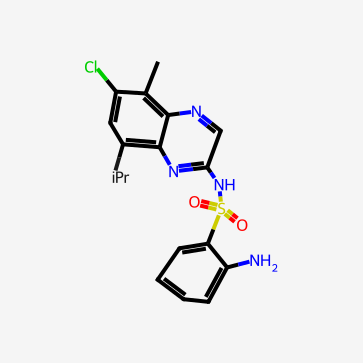 Cc1c(Cl)cc(C(C)C)c2nc(NS(=O)(=O)c3ccccc3N)cnc12